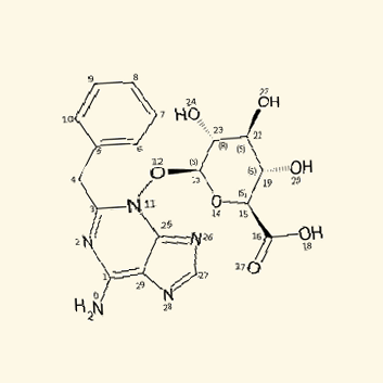 Nc1nc(Cc2ccccc2)n(O[C@@H]2O[C@H](C(=O)O)[C@@H](O)[C@H](O)[C@H]2O)c2ncnc1-2